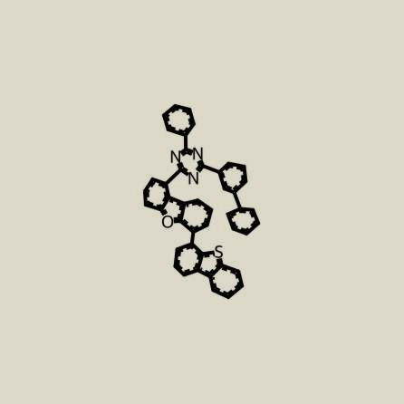 c1ccc(-c2cccc(-c3nc(-c4ccccc4)nc(-c4cccc5oc6c(-c7cccc8c7sc7ccccc78)cccc6c45)n3)c2)cc1